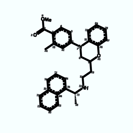 COC(=O)c1ccc(N2CC(CCN[C@H](C)c3cccc4ccccc34)Oc3ccccc32)cc1C